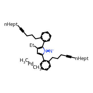 CCCCCCCC#CCCCc1ccccc1C1=CC(CC)=C(c2ccccc2CCCC#CCCCCCCC)[N+]1=[N-].[CH3][Pd][CH3]